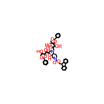 O=C(OCC1c2ccccc2-c2ccccc21)N1CCC(N(C[C@H](O)[C@@H](O)[C@@H]2OC(c3ccccc3)OC[C@H]2O)C[C@H](O)[C@@H](O)[C@@H]2OC(c3ccccc3)OC[C@H]2O)CC1